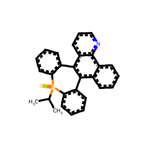 CC(C)P1(=S)c2ccccc2-c2c(c3cccnc3c3ccccc23)-c2ccccc21